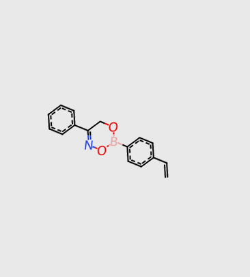 C=Cc1ccc(B2OCC(c3ccccc3)=NO2)cc1